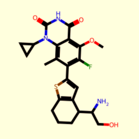 COc1c(F)c(-c2cc3c(s2)CCCC3C(N)CO)c(C)c2c1c(=O)[nH]c(=O)n2C1CC1